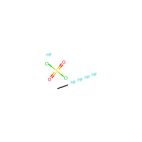 CC.F.F.F.F.F.O=S(=O)(Cl)Cl